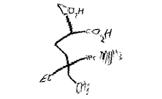 CCC(C)(CC(C(=O)O)C(=O)O)C(C)C.[MgH2]